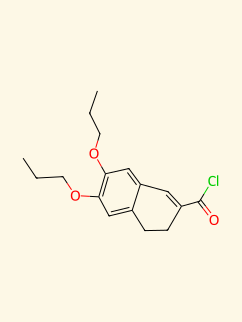 CCCOc1cc2c(cc1OCCC)CCC(C(=O)Cl)=C2